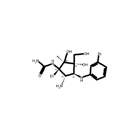 CC[C@]1(NC(N)=O)[C@@H](N)[C@H](Nc2cccc(C(C)=O)c2)[C@](O)(CO)[C@]1(C)O